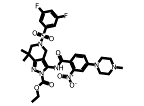 CCOC(=O)n1nc2c(c1NC(=O)c1ccc(N3CCN(C)CC3)cc1[N+](=O)[O-])CN(S(=O)(=O)c1cc(F)cc(F)c1)CC2(C)C